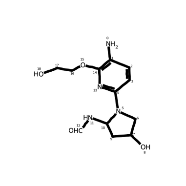 Nc1ccc(N2CC(O)CC2NC=O)nc1OCCO